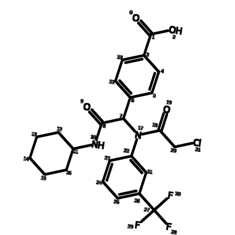 O=C(O)c1ccc(C(C(=O)NC2CCCCC2)N(C(=O)CCl)c2cccc(C(F)(F)F)c2)cc1